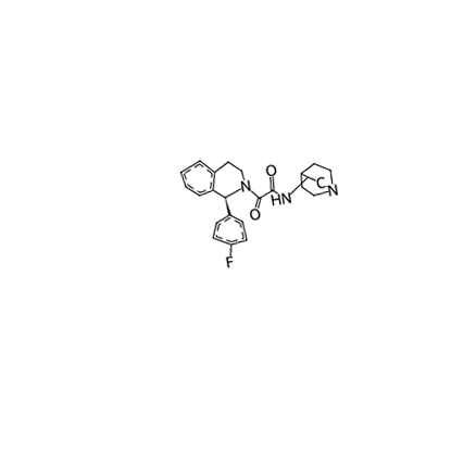 O=C(NC1CN2CCC1CC2)C(=O)N1CCc2ccccc2[C@@H]1c1ccc(F)cc1